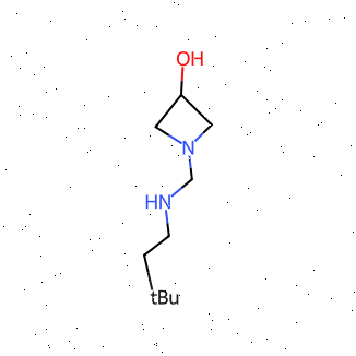 CC(C)(C)CCNCN1CC(O)C1